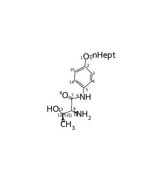 CCCCCCCOc1ccc(NC(=O)[C@@H](N)[C@@H](C)O)cc1